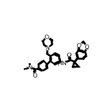 CN(C)C(=O)c1ccc(-c2cc(NC(=O)C3(c4ccc5c(c4)OCO5)CC3)ccc2CN2CCOCC2)cc1